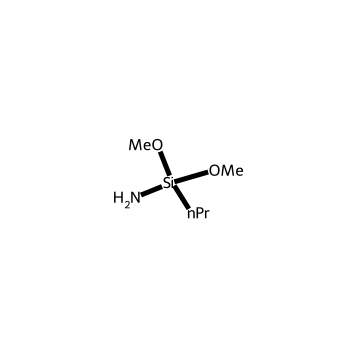 CCC[Si](N)(OC)OC